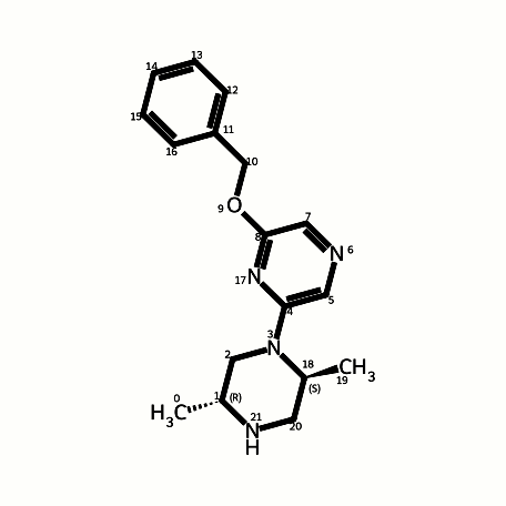 C[C@@H]1CN(c2cncc(OCc3ccccc3)n2)[C@@H](C)CN1